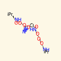 CC(C)C#CCNC(=O)COCCOC(C)(COc1cccc(C(=O)NCCOCCOCCOCCCNC(C)C)c1)N=[N+]=[N-]